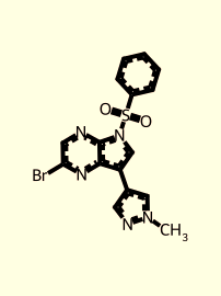 Cn1cc(-c2cn(S(=O)(=O)c3ccccc3)c3ncc(Br)nc23)cn1